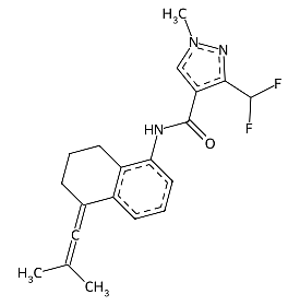 CC(C)=C=C1CCCc2c(NC(=O)c3cn(C)nc3C(F)F)cccc21